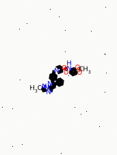 Cc1cc2ncc3cc(-c4ccccc4)c(-c4ccc(CN5CCC(OC(=O)Nc6cccc(S(C)(=O)=O)c6)CC5)cc4)nc3n2n1